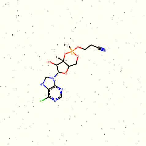 B[PH]1(OCCC#N)OCC2OC(N3CNc4c(Cl)ncnc43)C(O)[C@@H]2O1